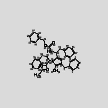 Cc1c(Cc2ccccc2)nc(C(Cc2ccccc2)NC(=O)OCc2ccccc2)n1[C@H](CCc1ccccc1)C1OC(C)O1